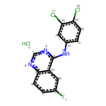 Cl.Fc1ccc2ncnc(Nc3ccc(Cl)c(Cl)c3)c2c1